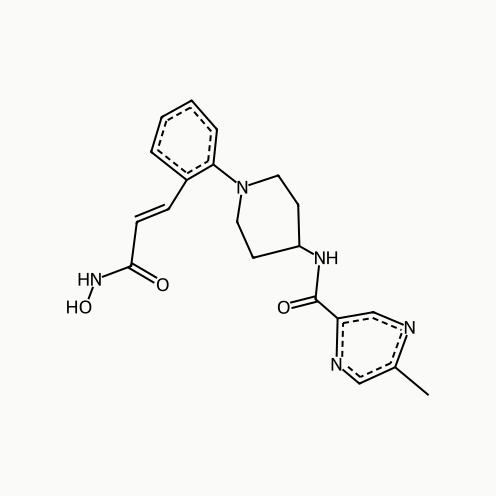 Cc1cnc(C(=O)NC2CCN(c3ccccc3C=CC(=O)NO)CC2)cn1